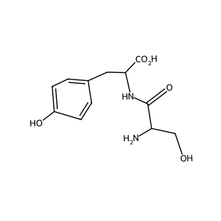 NC(CO)C(=O)NC(Cc1ccc(O)cc1)C(=O)O